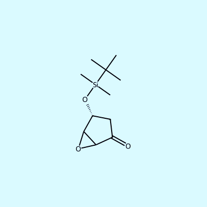 CC(C)(C)[Si](C)(C)O[C@@H]1CC(=O)C2OC21